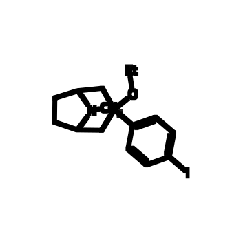 CCOC1(c2ccc(I)cc2)CC2CCC(C1)N2C